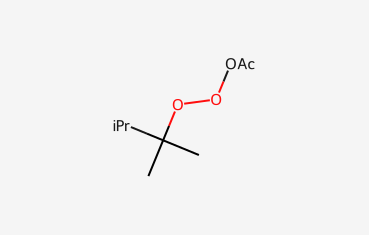 CC(=O)OOOC(C)(C)C(C)C